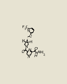 NNC(=O)c1cncc(C(=O)N2C[C@@H]3[C@H](COc4cccc(C(F)(F)F)n4)[C@@H]3C2)n1